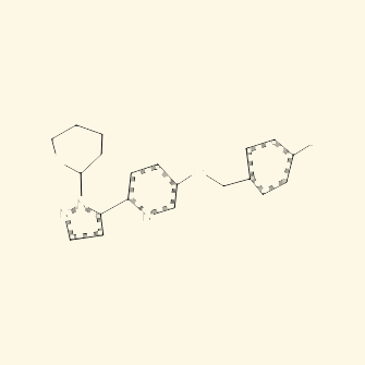 Ic1ccc(COc2ccc(-c3ccnn3C3CCCCO3)nc2)cc1